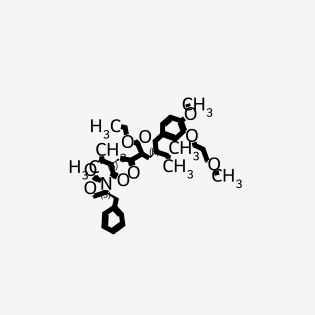 CCOC(=O)C(C[C@H](Cc1ccc(OC)c(OCCCOC)c1)C(C)C)C(=O)C[C@H](C(=O)N1C(=O)OC[C@@H]1Cc1ccccc1)C(C)C